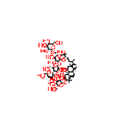 C[C@H](CC[C@@H](O[C@@H]1O[C@H](CO[C@H]2O[C@H](CO)[C@@H](O)[C@H](O)[C@H]2O)[C@@H](O)[C@H](O)[C@H]1O[C@@H]1O[C@H](CO)C([C@H]2O[C@H](CO)C[C@H](O)[C@H]2O)[C@H](O)[C@H]1O)C(C)(C)O)C1CC[C@@]2(C)C3CC=C4C(CC[C@H](O[C@@H]5O[C@H](CO)[C@@H](O)[C@H](O)[C@H]5O)C4(C)C)[C@]3(C)[C@H](O)C[C@]12C